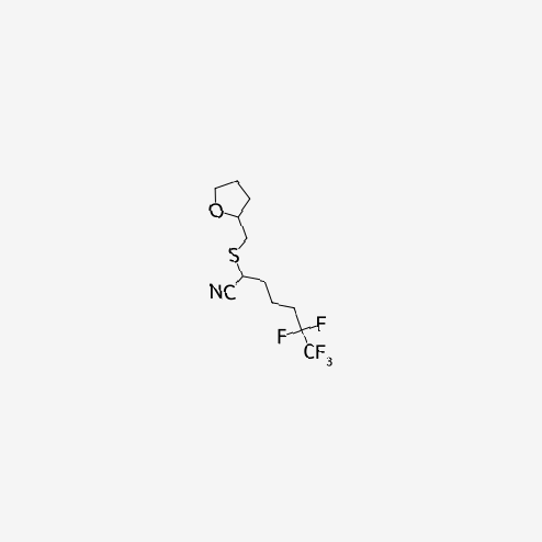 N#CC(CCCC(F)(F)C(F)(F)F)SCC1CCCO1